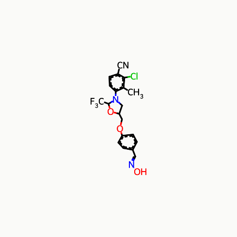 Cc1c(N2CC(COc3ccc(C=NO)cc3)OC2C(F)(F)F)ccc(C#N)c1Cl